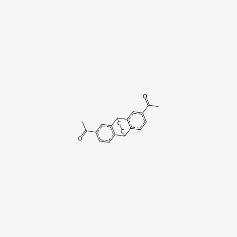 CC(=O)c1ccc2c(c1)C1CCC2c2ccc(C(C)=O)cc21